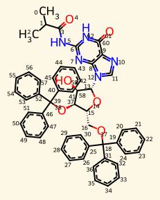 CC(C)C(=O)Nc1nc2c(ncn2[C@@H]2O[C@H](COC(c3ccccc3)(c3ccccc3)c3ccccc3)[C@@H](OC(c3ccccc3)(c3ccccc3)c3ccccc3)[C@H]2O)c(=O)[nH]1